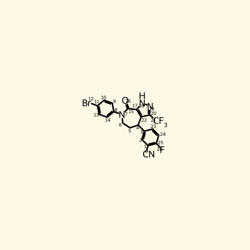 N#Cc1cc(C2CCN(c3ccc(Br)cc3)C(=O)c3[nH]nc(C(F)(F)F)c32)ccc1F